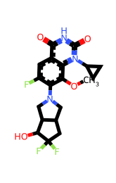 COc1c(N2CC3CC(F)(F)C(O)C3C2)c(F)cc2c(=O)[nH]c(=O)n(C3CC3)c12